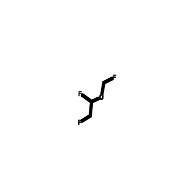 FCOC(F)CF